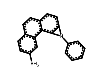 Bc1ccc2ccc3ccc4c(c3c2c1)N4c1ccccc1